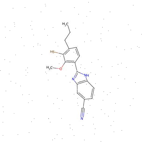 CCCc1ccc(-c2nc3cc(C#N)ccc3[nH]2)c(OC)c1S